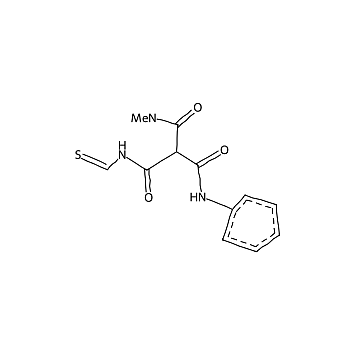 CNC(=O)C(C(=O)NC=S)C(=O)Nc1ccccc1